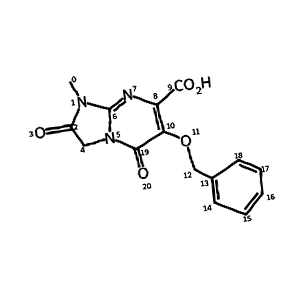 CN1C(=O)Cn2c1nc(C(=O)O)c(OCc1ccccc1)c2=O